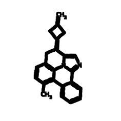 C=C1CC(=C2Cc3ccc(C)c4c5ccccc5c5ncc2n5c34)C1